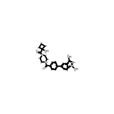 O=C(c1ccc(-c2ccc3c(c2)c(O)nn3O)cc1)N1CCN(C(=O)C2(O)CCC2)CC1